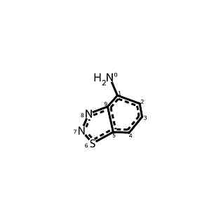 Nc1cccc2snnc12